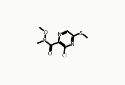 CON(C)C(=O)c1ncc(SC)nc1Cl